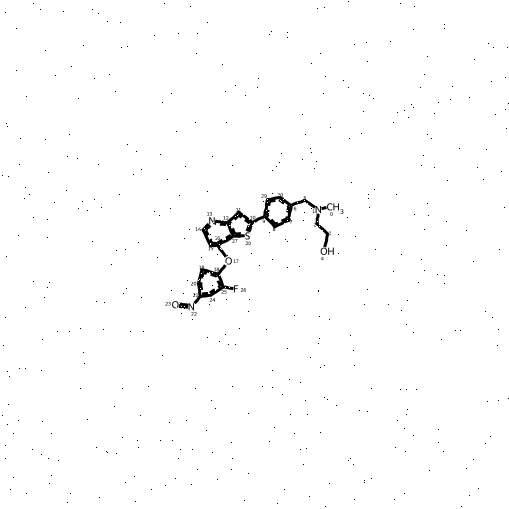 CN(CCO)Cc1ccc(-c2cc3nccc(Oc4ccc(N=O)cc4F)c3s2)cc1